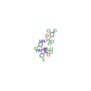 O=CC1(CNc2ccc(Cl)c(C(=O)Nc3ccc(F)cc3NC(=O)C(Cl)(Cl)Cl)c2)C(c2ccc(Cl)c(Cl)c2)C1(Cl)Cl